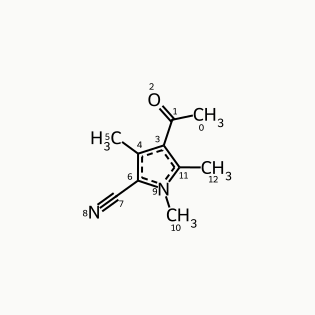 CC(=O)c1c(C)c(C#N)n(C)c1C